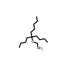 CCCCCC(CCCC)(CCCC)OCN